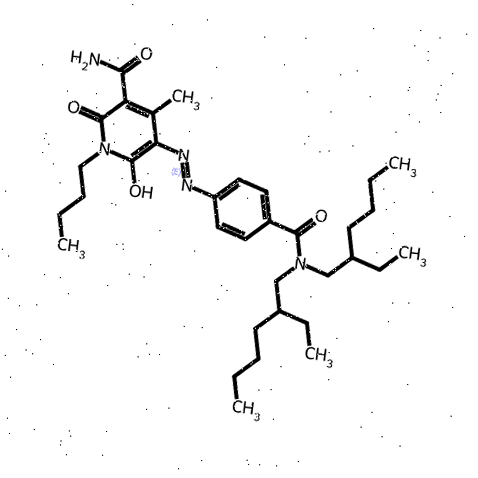 CCCCC(CC)CN(CC(CC)CCCC)C(=O)c1ccc(/N=N/c2c(C)c(C(N)=O)c(=O)n(CCCC)c2O)cc1